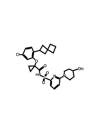 O=C(NS(=O)(=O)c1cccc(N2CCC(O)CC2)n1)C1(Oc2cc(Cl)ccc2C2CC3(CCC3)C2)CC1